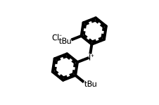 CC(C)(C)c1ccccc1[I+]c1ccccc1C(C)(C)C.[Cl-]